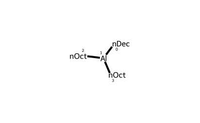 CCCCCCCCC[CH2][Al]([CH2]CCCCCCC)[CH2]CCCCCCC